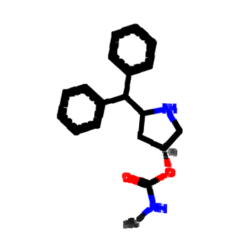 CCCCNC(=O)O[C@H]1CNC(C(c2ccccc2)c2ccccc2)C1